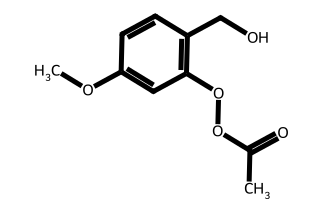 COc1ccc(CO)c(OOC(C)=O)c1